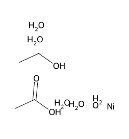 CC(=O)O.CCO.O.O.O.O.O.[Ni]